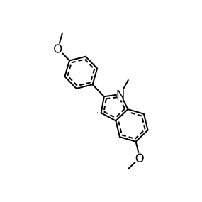 COc1ccc(-c2[c]c3cc(OC)ccc3n2C)cc1